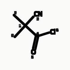 CC(C)(C#N)C(=O)Cl